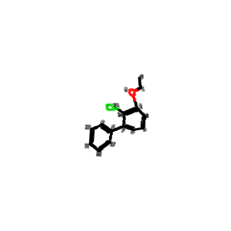 CCOc1cccc(-c2ccccc2)c1Cl